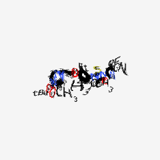 CCc1cc(N2C(=S)N(c3cnc(C#N)c(C(F)(F)F)c3)C(=O)C2(C)C)ccc1OCCN1CCN(C(=O)OC(C)(C)C)[C@H](C)C1